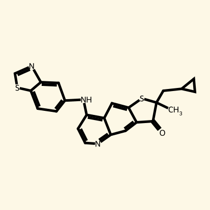 CC1(CC2CC2)Sc2cc3c(Nc4ccc5scnc5c4)ccnc3cc2C1=O